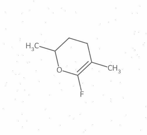 CC1=C(F)OC(C)CC1